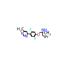 Cc1cc(-c2cc(F)c(OC[C@@](C)(N)CC(C)C)cc2F)ncn1